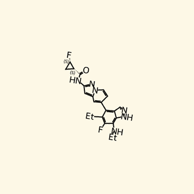 CCNc1c(F)c(CC)c(-c2ccn3nc(NC(=O)[C@@H]4C[C@@H]4F)cc3c2)c2cn[nH]c12